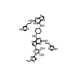 CCn1nnc([C@H]2O[C@@H](n3cnc4c(N[C@H]5CC[C@H](Nc6[nH]c(NCCc7c[nH]cn7)nc7ncnc6-7)CC5)nc(NCCc5c[nH]cn5)nc43)[C@H](O)[C@@H]2O)n1